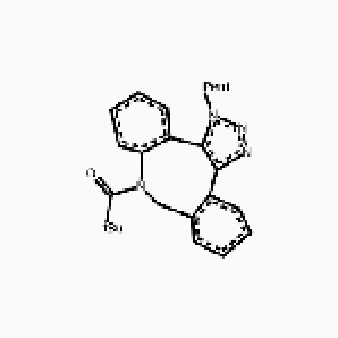 CCCC(C)n1nnc2c1-c1ccccc1N(C(=O)C(C)(C)C)Cc1ccccc1-2